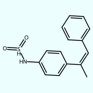 CC(=Cc1ccccc1)c1ccc(N[SH](=O)=O)cc1